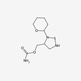 NC(=O)OCC1CNSN1C1CCCCO1